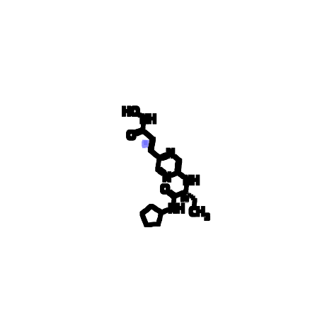 CC[C@@H](Nc1cnc(/C=C/C(=O)NO)cn1)C(=O)NC1CCCC1